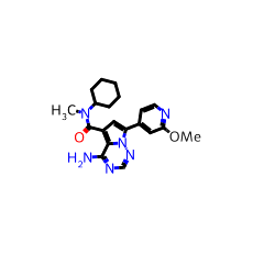 COc1cc(-c2cc(C(=O)N(C)C3CCCCC3)c3c(N)ncnn23)ccn1